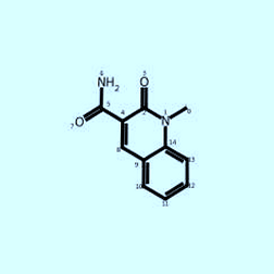 Cn1c(=O)c(C(N)=O)cc2ccccc21